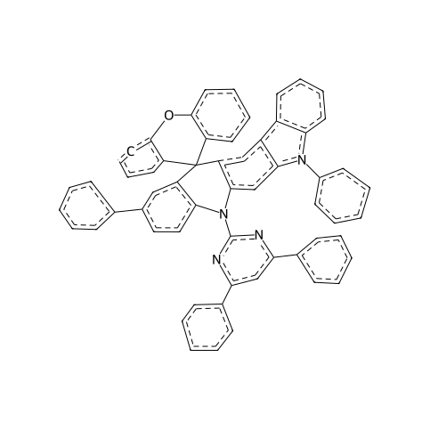 c1ccc(-c2ccc3c(c2)C2(c4ccccc4Oc4ccccc42)c2cc4c5ccccc5n(-c5ccccc5)c4cc2N3c2nc(-c3ccccc3)cc(-c3ccccc3)n2)cc1